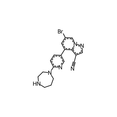 N#Cc1cnn2cc(Br)cc(-c3ccc(N4CCCNCC4)nc3)c12